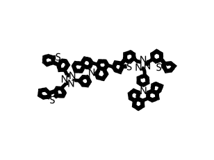 c1cc(-c2nc(-c3ccc4sc5ccccc5c4c3)nc(-c3ccc4sc5ccccc5c4c3)n2)cc(N2c3c(ccc4ccccc34)-c3ccc(-c4ccc5sc6c(-c7nc(-c8ccc(N9c%10c(ccc%11ccccc%10%11)-c%10cccc%11cccc9c%10%11)cc8)nc(-c8cccc9c8sc8ccccc89)n7)cccc6c5c4)c4cccc2c34)c1